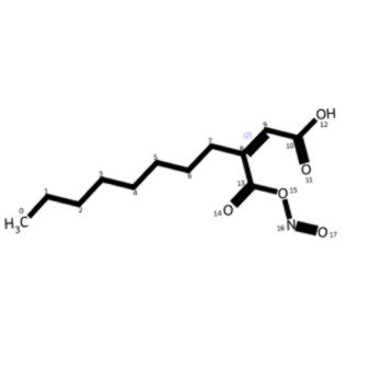 CCCCCCCC/C(=C/C(=O)O)C(=O)ON=O